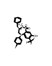 CN1[C@H](Cc2ccccc2)CN(c2ccc(F)cc2)c2cc(C(F)(F)F)c(O)cc2S1(=O)=O